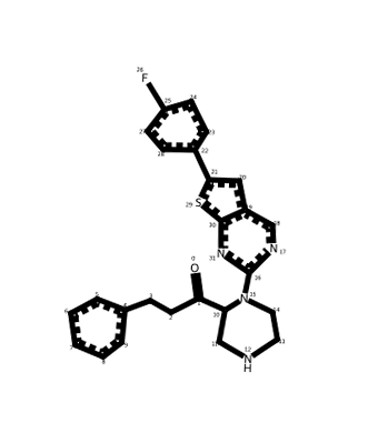 O=C(CCc1ccccc1)C1CNCCN1c1ncc2cc(-c3ccc(F)cc3)sc2n1